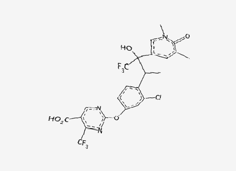 Cc1cc(C(O)(C(C)c2ccc(Oc3ncc(C(=O)O)c(C(F)(F)F)n3)cc2Cl)C(F)(F)F)cn(C)c1=O